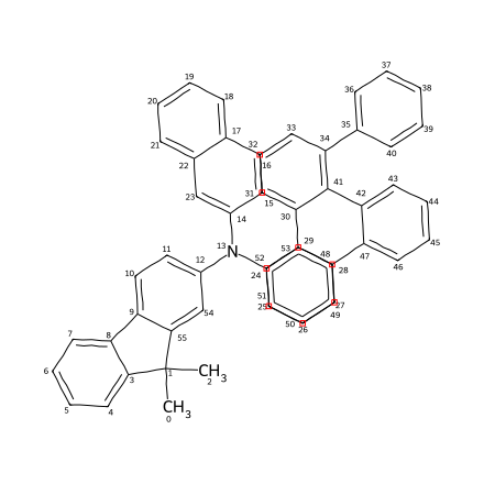 CC1(C)c2ccccc2-c2ccc(N(c3ccc4ccccc4c3)c3ccccc3-c3cccc(-c4ccccc4)c3-c3ccccc3-c3ccccc3)cc21